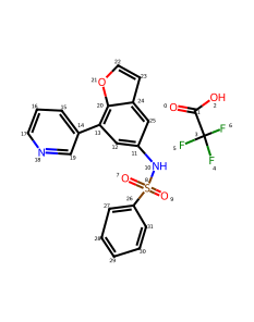 O=C(O)C(F)(F)F.O=S(=O)(Nc1cc(-c2cccnc2)c2occc2c1)c1ccccc1